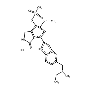 CCN(C)Cc1ccc2[nH]c(-c3cc(OC)c(OS(C)(=O)=O)c4c3C(=O)NC4)cc2c1.Cl